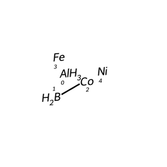 [AlH3].[BH2][Co].[Fe].[Ni]